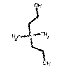 [CH2][N+](C)(CCO)CCO